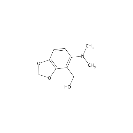 CN(C)c1ccc2c(c1CO)OCO2